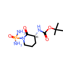 CC(C)(C)OC(=O)N[C@@H]1CCCN(P(N)(N)=O)C1=O